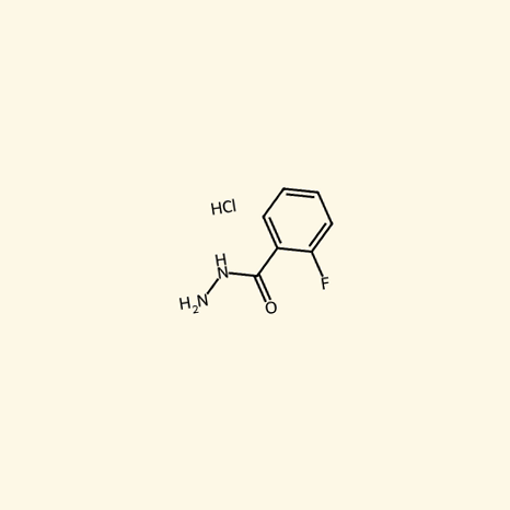 Cl.NNC(=O)c1ccccc1F